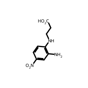 Nc1cc([N+](=O)[O-])ccc1NCCC(=O)O